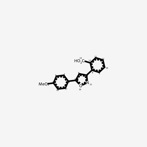 COc1ccc(-c2cc(-c3ccccc3C(=O)O)no2)cc1